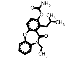 CCN1C(=O)c2c(ccc(OC(N)=O)c2CC(C)C)Oc2ccccc21